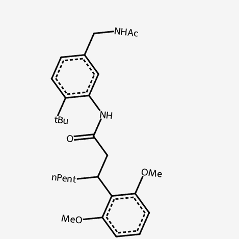 CCCCCC(CC(=O)Nc1cc(CNC(C)=O)ccc1C(C)(C)C)c1c(OC)cccc1OC